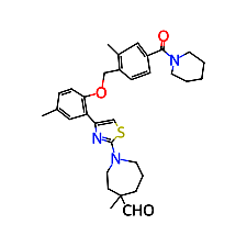 Cc1ccc(OCc2ccc(C(=O)N3CCCCC3)cc2C)c(-c2csc(N3CCCC(C)(C=O)CC3)n2)c1